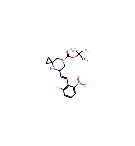 CC(C)(C)OC(=O)N1CC(/C=C/c2c(F)cccc2[N+](=O)[O-])NC2(CC2)C1